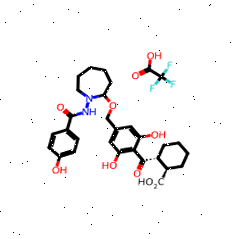 O=C(NN1CCCCCC1OCc1cc(O)c(C(=O)[C@@H]2CCCC[C@H]2C(=O)O)c(O)c1)c1ccc(O)cc1.O=C(O)C(F)(F)F